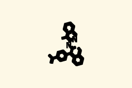 C=C(C)c1ccc(C(/C(C)=N/c2ncc3ccccc3c2C)=c2\cccc\c2=C\C)cc1